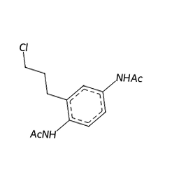 CC(=O)Nc1ccc(NC(C)=O)c(CCCCl)c1